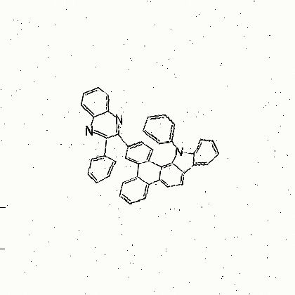 c1ccc(-c2nc3ccccc3nc2-c2ccc3c(c2)c2ccccc2c2ccc4c5ccccc5n(-c5ccccc5)c4c23)cc1